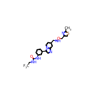 Cc1nc(CONCc2ccn3c(-c4cccc(NC(=O)NCC(F)(F)F)c4)cnc3c2)cs1